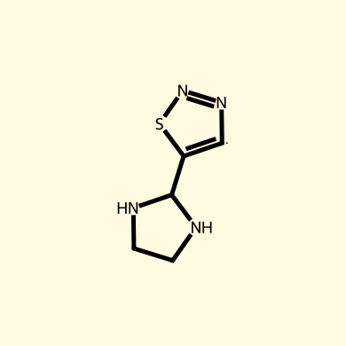 [c]1nnsc1C1NCCN1